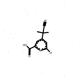 CC(C)(C#N)c1cc(Cl)nc(C(=O)O)c1